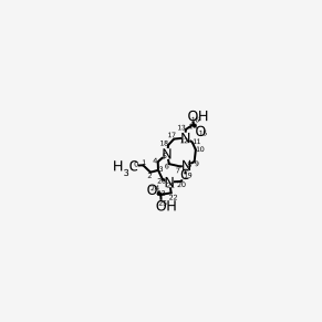 CCCC1CN2CCN(CCCN(CC(=O)O)CC2)CCN(CC(=O)O)C1